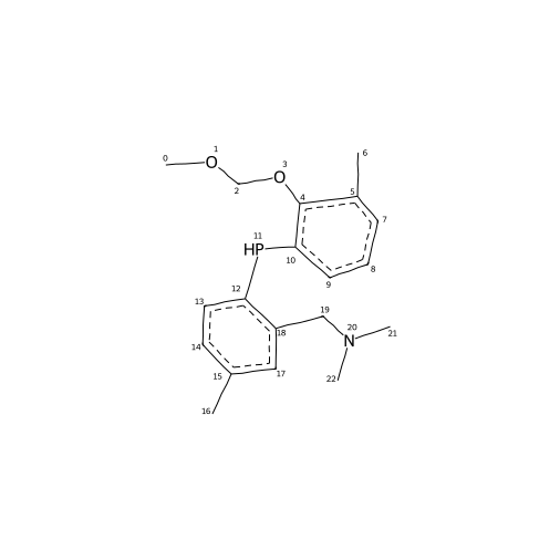 COCOc1c(C)cccc1Pc1ccc(C)cc1CN(C)C